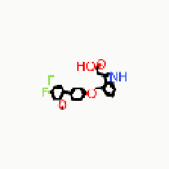 COc1cc(F)c(F)cc1-c1ccc(OCc2cccc3[nH]cc(CC(=O)O)c23)cc1